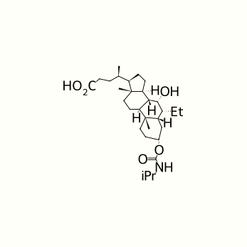 CC[C@H]1[C@@H](O)[C@@H]2[C@H](CC[C@]3(C)[C@@H]([C@H](C)CCC(=O)O)CC[C@@H]23)[C@@]2(C)CC[C@@H](OC(=O)NC(C)C)C[C@@H]12